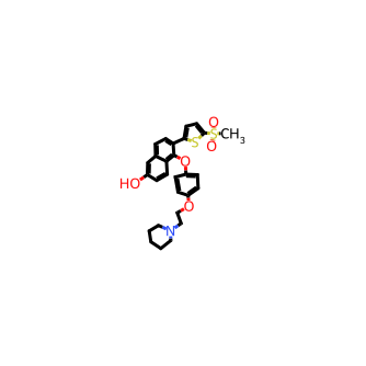 CS(=O)(=O)c1ccc(-c2ccc3cc(O)ccc3c2Oc2ccc(OCCN3CCCCC3)cc2)s1